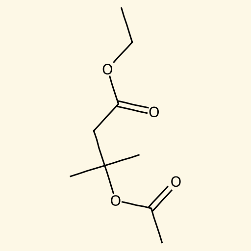 CCOC(=O)CC(C)(C)OC(C)=O